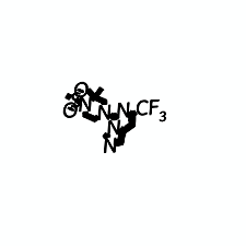 CC1(C)CN(c2nc(C(F)(F)F)cc3cncn23)CCN1S(C)(=O)=O